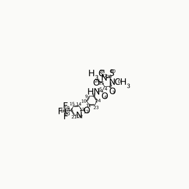 CN1C(=O)C(C(=O)Nc2ccc(Oc3ccc(C(F)(F)F)cn3)cc2)C(=O)N(C)C1=S